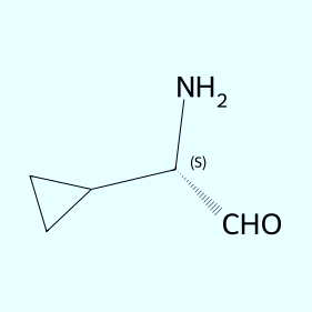 N[C@H](C=O)C1CC1